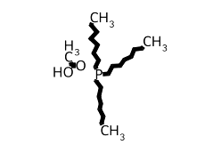 CC(=O)O.CCCCCCCCP(CCCCCCCC)CCCCCCCC